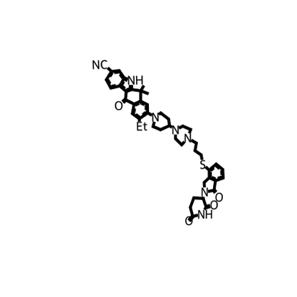 CCc1cc2c(cc1N1CCC(N3CCN(CCCSc4cccc5c4CN(C4CCC(=O)NC4=O)C5=O)CC3)CC1)C(C)(C)c1[nH]c3cc(C#N)ccc3c1C2=O